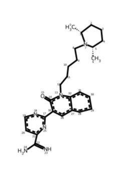 C[C@@H]1CCC[C@H](C)N1CCCCCn1c(=O)c(-c2nccc(C(=N)N)n2)cc2ccccc21